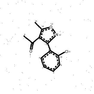 CC(=O)c1c(-c2ccccc2Cl)noc1C